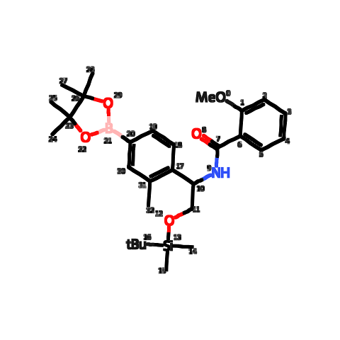 COc1ccccc1C(=O)NC(CO[Si](C)(C)C(C)(C)C)c1ccc(B2OC(C)(C)C(C)(C)O2)cc1C